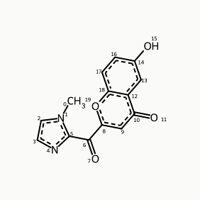 Cn1ccnc1C(=O)c1cc(=O)c2cc(O)ccc2o1